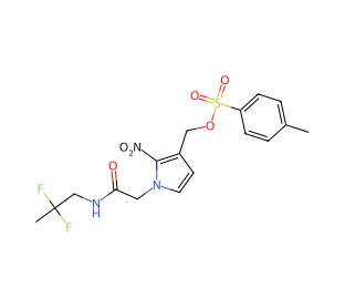 Cc1ccc(S(=O)(=O)OCc2ccn(CC(=O)NCC(C)(F)F)c2[N+](=O)[O-])cc1